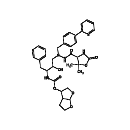 CC1(C)OC(=O)NC1C(=O)NN(Cc1ccc(-c2ccccn2)cc1)CC(O)C(Cc1ccccc1)NC(=O)OC1COC2OCCC12